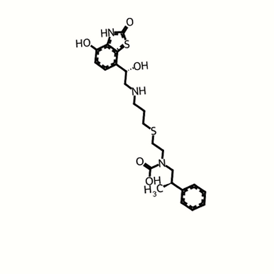 C[C@@H](CN(CCSCCCNC[C@@H](O)c1ccc(O)c2[nH]c(=O)sc12)C(=O)O)c1ccccc1